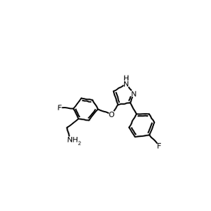 NCc1cc(Oc2c[nH]nc2-c2ccc(F)cc2)ccc1F